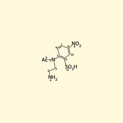 CC(=O)N(CCN)c1ccc([N+](=O)[O-])cc1S(=O)(=O)O